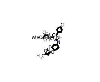 COC(=O)[C@@H](C)CNC(=O)N/C(=N\C1=CC(F)C(Oc2cc(C)on2)C=C1)NCC1=CC=C(Cl)CC1